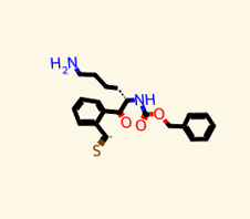 NCCCC[C@H](NC(=O)OCc1ccccc1)C(=O)c1ccccc1[C]=S